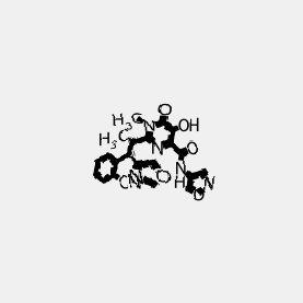 C[C@H](c1nc(C(=O)Nc2cnoc2)c(O)c(=O)n1C)[C@@H](c1cocn1)c1ccccc1C#N